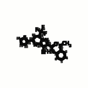 CSc1ccccc1NC(=O)c1nn2c(C(F)(F)F)cc(-c3cccs3)nc2c1Br